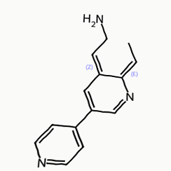 C/C=c1/ncc(-c2ccncc2)c/c1=C/CN